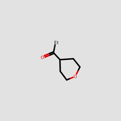 CCC(=O)C1CCOCC1